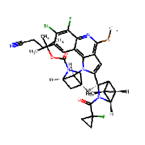 CSc1nc2c(F)c(Br)c(CCC#N)cc2c2c1cc([C@H]1C3[C@@H]4[C@H](N1C(=O)C1(F)CC1)[C@]34C)n2[C@H]1[C@@H]2C[C@H]1N(C(=O)OC(C)(C)C)C2